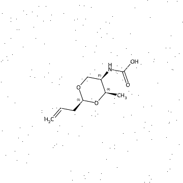 C=CC[C@H]1OC[C@@H](NC(=O)O)[C@@H](C)O1